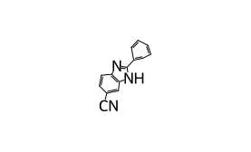 N#Cc1ccc2nc(-c3ccccc3)[nH]c2c1